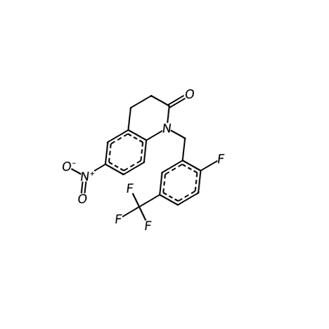 O=C1CCc2cc([N+](=O)[O-])ccc2N1Cc1cc(C(F)(F)F)ccc1F